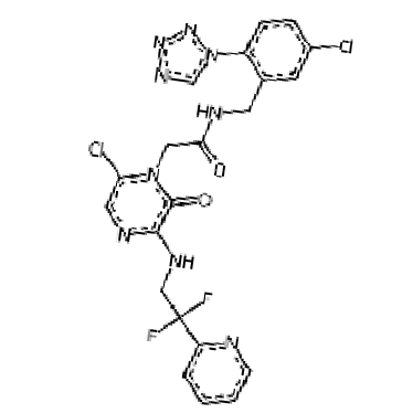 O=C(Cn1c(Cl)cnc(NCC(F)(F)c2ccccn2)c1=O)NCc1cc(Cl)ccc1-n1cnnn1